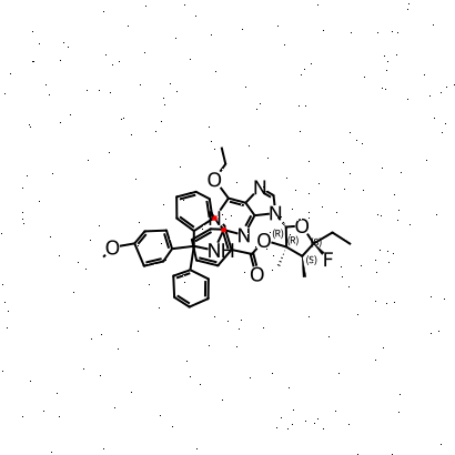 CCOc1nc(NC(c2ccccc2)(c2ccccc2)c2ccc(OC)cc2)nc2c1ncn2[C@@H]1O[C@](F)(CC)[C@@H](C)[C@@]1(C)OC(=O)c1ccccc1